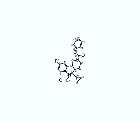 O=CN(c1ccc(F)cc1)C(C1CC1)C1CCN(C(=O)Oc2ccncc2)CC1